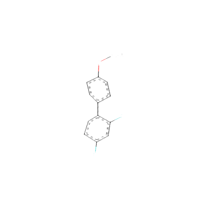 CCCCCCCCOc1ccc(-c2ccc(F)cc2F)cc1